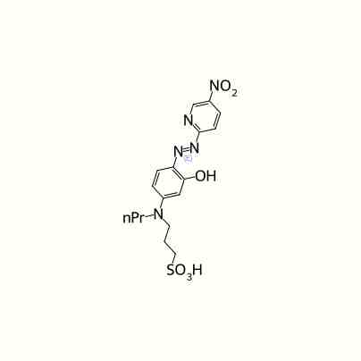 CCCN(CCCS(=O)(=O)O)c1ccc(/N=N/c2ccc([N+](=O)[O-])cn2)c(O)c1